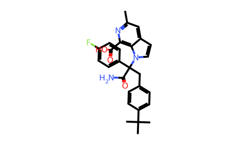 Cc1cc2ccn(C(Cc3ccc(C(C)(C)C)cc3)(C(N)=O)c3ccc(F)cc3)c2c(C(=O)O)n1